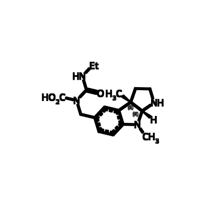 CCNC(=O)N(Cc1ccc2c(c1)[C@]1(C)CCN[C@@H]1N2C)C(=O)O